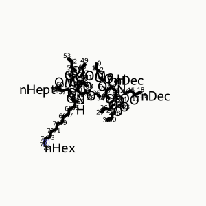 C=CCOC(=O)O[C@H]1[C@H](OCCCCCCCCCC)[C@@H](NC(=O)CC(=O)CCCCCCCCCCC)[C@@H](OP(=O)(OCC=C)OCC=C)O[C@@H]1CCO[C@@H]1O[C@H](COC)[C@@H](OP(=O)(OCC=C)OCC=C)[C@H](OCC[C@@H](CCCCCCC)OC)[C@H]1NC(=O)CCCCCCCCC/C=C\CCCCCC